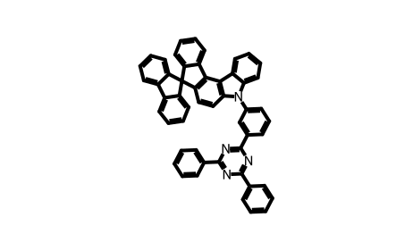 c1ccc(-c2nc(-c3ccccc3)nc(-c3cccc(-n4c5ccccc5c5c6c(ccc54)C4(c5ccccc5-c5ccccc54)c4ccccc4-6)c3)n2)cc1